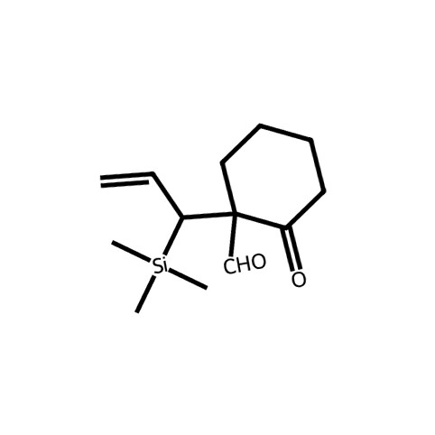 C=CC(C1(C=O)CCCCC1=O)[Si](C)(C)C